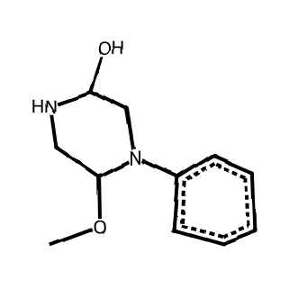 COC1CNC(O)CN1c1ccccc1